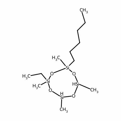 CCCCCC[Si]1(C)O[SiH](C)O[SiH](C)O[Si](C)(CC)O1